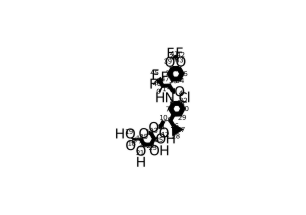 C[C@H]([C@@H](C(=O)Nc1cc([C@@H](CC(=O)OC2O[C@H](C(=O)O)[C@@H](O)[C@H](O)[C@H]2O)C2CC2)ccc1Cl)c1ccc2c(c1)OC(F)(F)O2)C(F)(F)F